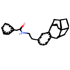 O=C(NCCc1ccc2c(c1)C1CC3CC4CC2CC43C1)c1ccccc1